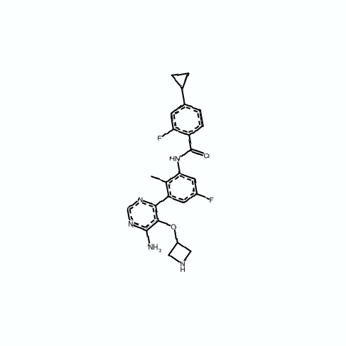 Cc1c(NC(=O)c2ccc(C3CC3)cc2F)cc(F)cc1-c1ncnc(N)c1OC1CNC1